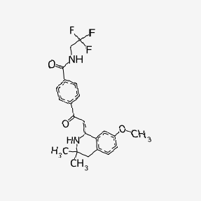 COc1ccc2c(c1)C(=CC(=O)c1ccc(C(=O)NCC(F)(F)F)cc1)NC(C)(C)C2